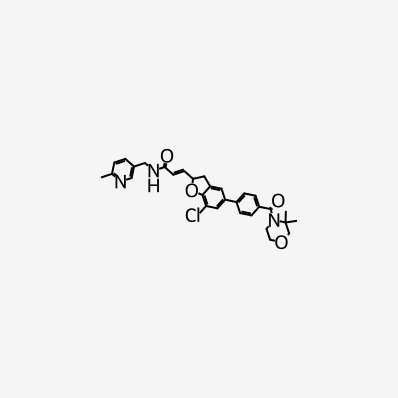 Cc1ccc(CNC(=O)/C=C/C2Cc3cc(-c4ccc(C(=O)N5CCOCC5(C)C)cc4)cc(Cl)c3O2)cn1